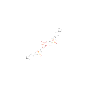 O=C(O)P(=O)(OCCCS(=O)(=O)CCCCC1CCC1)OCCCS(=O)(=O)CCCCC1CCC1